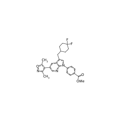 COC(=O)c1ccc(-n2cc(CC3CCC(F)(F)CC3)c3cc(-c4c(C)noc4C)cnc32)cc1